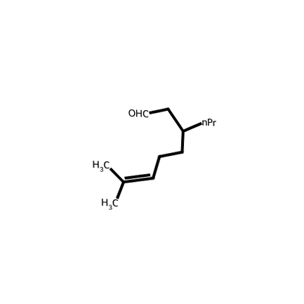 CCCC(CC=O)CCC=C(C)C